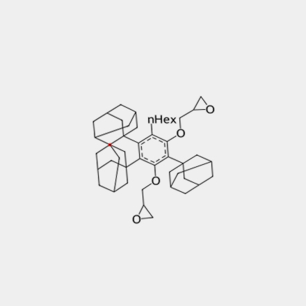 CCCCCCc1c(OCC2CO2)c(C23CC4CC(CC(C4)C2)C3)c(OCC2CO2)c(C23CC4CC(CC(C4)C2)C3)c1C12CC3CC(CC(C3)C1)C2